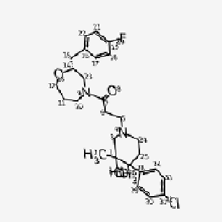 CC1(C)CN(CCC(=O)N2CCCO[C@H](Cc3ccc(F)cc3)C2)CC[C@]1(O)c1ccc(Cl)cc1